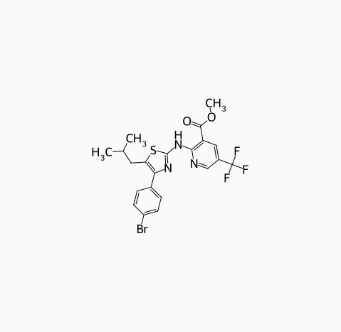 COC(=O)c1cc(C(F)(F)F)cnc1Nc1nc(-c2ccc(Br)cc2)c(CC(C)C)s1